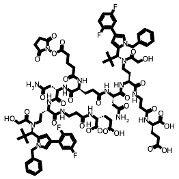 CC(C)(C)[C@H](c1cc(-c2cc(F)ccc2F)cn1Cc1ccccc1)N(CC[C@H](NC(=O)[C@H](CC(N)=O)NC(=O)CC[C@H](NC(=O)CCCC(=O)ON1C(=O)CCC1=O)C(=O)N[C@@H](CC(N)=O)C(=O)N[C@@H](CCN(C(=O)CO)[C@@H](c1cc(-c2cc(F)ccc2F)cn1Cc1ccccc1)C(C)(C)C)C(=O)NCCC(=O)N[C@H](CCC(=O)O)C(=O)O)C(=O)NCCC(=O)N[C@H](CCC(=O)O)C(=O)O)C(=O)CO